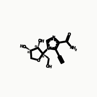 C#Cc1c(C(N)=O)ncn1[C@@]1(CO)OC[C@H](O)[C@@H]1O